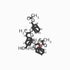 C=C(C)C(=O)OC12CC3CC(C1)C(CC(=C)C(=O)OC14CC5CC(CO)(CC(C1)C5CC(=C)C(=O)OC15CC6CC(CC(COC(C)=O)(C6)C1)C5)C4)C(O)(C3)C2